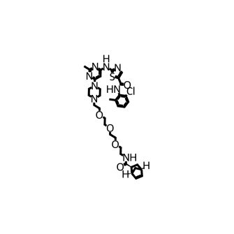 Cc1nc(Nc2ncc(C(=O)Nc3c(C)cccc3Cl)s2)cc(N2CCN(CCOCCOCCOCCNC(=O)[C@H]3C[C@H]4C=C[C@@H]3C4)CC2)n1